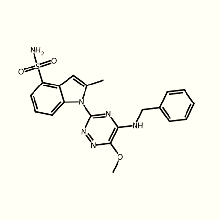 COc1nnc(-n2c(C)cc3c(S(N)(=O)=O)cccc32)nc1NCc1ccccc1